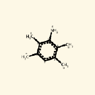 Cc1[c]c(C)c(C)c(N)c1C